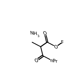 CCCC(=O)C(C)C(=O)OF.N